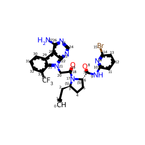 C#CC[C@@H]1CC[C@@H](C(=O)Nc2cccc(Br)n2)N1C(=O)Cn1c2ncnc(N)c2c2cccc(C(F)(F)F)c21